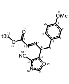 COc1ccc(C[C@H](N=NC(=O)OC(C)(C)C)c2ocnc2C#N)cc1